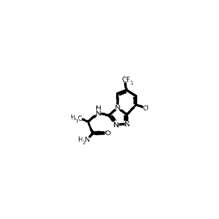 CC(Nc1nnc2c(Cl)cc(C(F)(F)F)cn12)C(N)=O